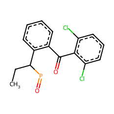 CCC(P=O)c1ccccc1C(=O)c1c(Cl)cccc1Cl